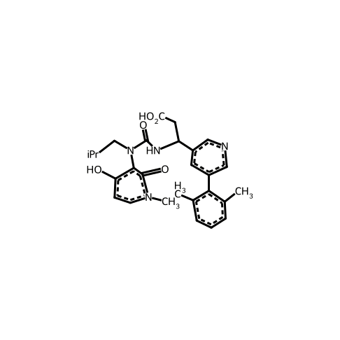 Cc1cccc(C)c1-c1cncc(C(CC(=O)O)NC(=O)N(CC(C)C)c2c(O)ccn(C)c2=O)c1